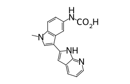 Cn1cc(-c2cc3cccnc3[nH]2)c2cc(NC(=O)O)ccc21